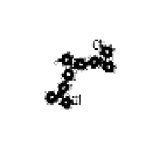 Cc1cccc(N(c2ccc(-c3ccc(N(c4ccccc4)c4cccc(Cl)c4)cc3)cc2)c2ccc(-c3ccc(N(c4ccccc4)c4cccc(Cl)c4)cc3)cc2)c1